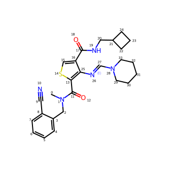 CN(Cc1ccccc1C#N)C(=O)c1scc(C(=O)NCC2CCC2)c1/N=C/N1CCCCC1